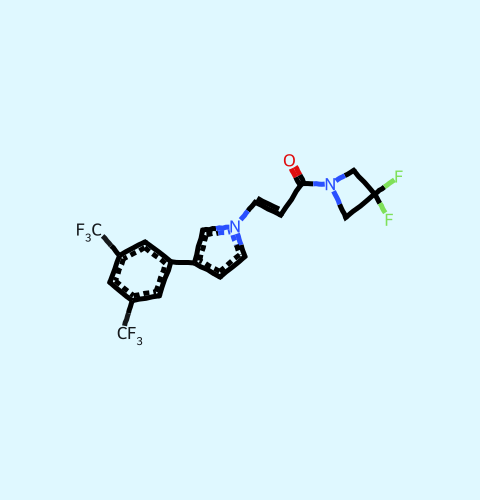 O=C(C=Cn1ccc(-c2cc(C(F)(F)F)cc(C(F)(F)F)c2)c1)N1CC(F)(F)C1